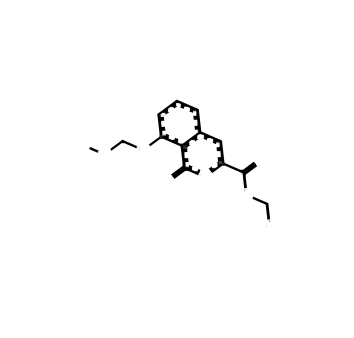 CCOC(=O)c1cc2cccc(OCOC)c2c(=O)o1